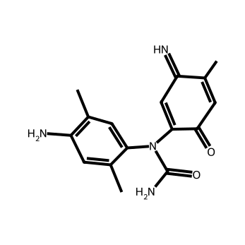 CC1=CC(=O)C(N(C(N)=O)c2cc(C)c(N)cc2C)=CC1=N